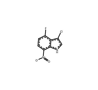 O=[N+]([O-])c1ccc(F)c2c(Cl)c[nH]c12